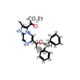 CCOC(=O)C(=O)c1c(C)nc2cnc(C(O[SiH](c3ccccc3)c3ccccc3)C(C)(C)C)cn12